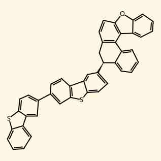 c1ccc2c(c1)-c1c(ccc3oc4ccccc4c13)C[C@@H]2c1ccc2sc3cc(-c4ccc5sc6ccccc6c5c4)ccc3c2c1